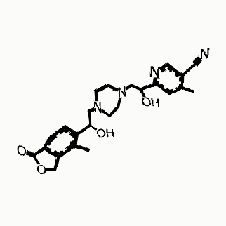 Cc1cc(C(O)CN2CCN(C[C@@H](O)c3ccc4c(c3C)COC4=O)CC2)ncc1C#N